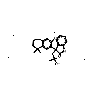 CC(C)(O)CC1(c2cc3c(cc2O)OCCC3(C)C)C(=O)Nc2ccccc21